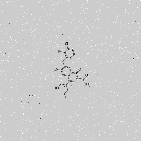 CCCC(CO)n1cc(C(=O)O)c(=O)c2cc(Cc3cccc(Cl)c3F)c(OC)cc21